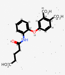 O=C(O)CCCC(=O)Nc1ccccc1Oc1ccc(C(=O)O)c(C(=O)O)c1